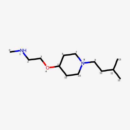 CNCCOC1CCN(CCC(C)C)CC1